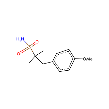 COc1ccc(CC(C)(C)S(N)(=O)=O)cc1